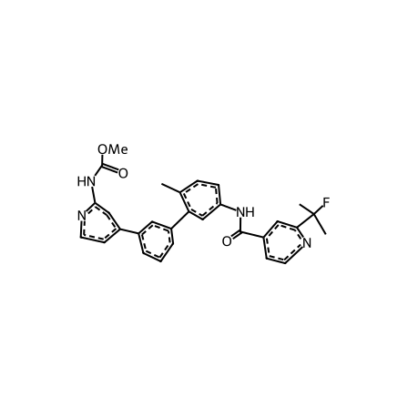 COC(=O)Nc1cc(-c2cccc(-c3cc(NC(=O)c4ccnc(C(C)(C)F)c4)ccc3C)c2)ccn1